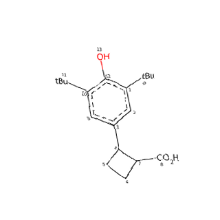 CC(C)(C)c1cc(C2CCC2C(=O)O)cc(C(C)(C)C)c1O